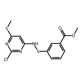 COC(=O)c1cccc(SNc2cc(SC)nc(Cl)n2)c1